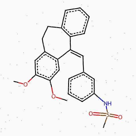 COc1cc2c(cc1OC)C(=Cc1cccc(NS(C)(=O)=O)c1)c1ccccc1CC2